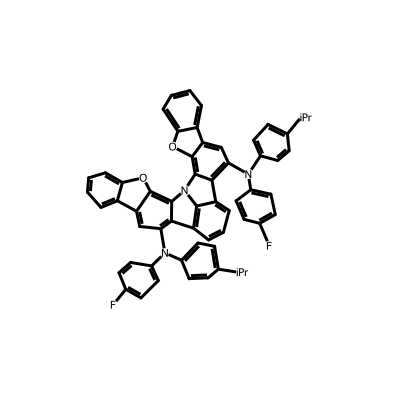 CC(C)c1ccc(N(c2ccc(F)cc2)c2cc3c4ccccc4oc3c3c2c2cccc4c5c(N(c6ccc(F)cc6)c6ccc(C(C)C)cc6)cc6c7ccccc7oc6c5n3c24)cc1